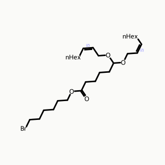 CCCCCC/C=C\COC(CCCCC(=O)OCCCCCCBr)OC/C=C\CCCCCC